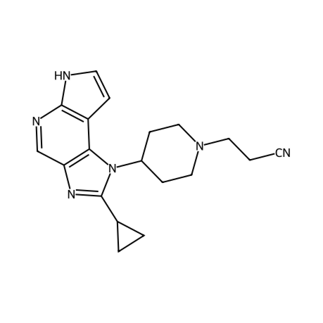 N#CCCN1CCC(n2c(C3CC3)nc3cnc4[nH]ccc4c32)CC1